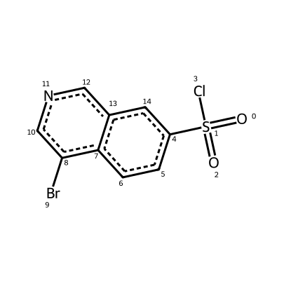 O=S(=O)(Cl)c1ccc2c(Br)cncc2c1